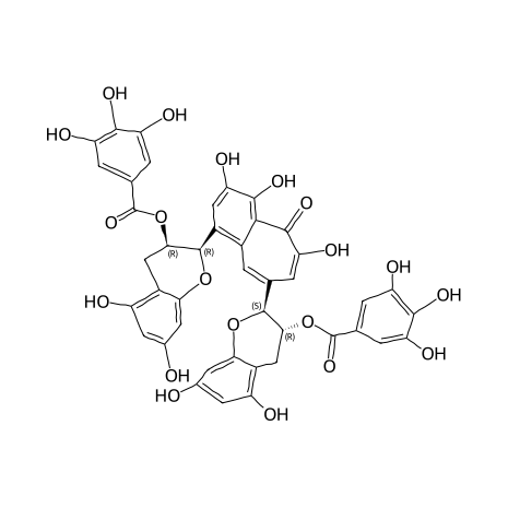 O=C(O[C@@H]1Cc2c(O)cc(O)cc2O[C@@H]1c1cc(O)c(O)c2c(=O)c(O)cc([C@@H]3Oc4cc(O)cc(O)c4C[C@H]3OC(=O)c3cc(O)c(O)c(O)c3)cc12)c1cc(O)c(O)c(O)c1